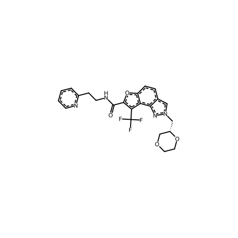 O=C(NCCc1ccccn1)c1oc2ccc3cn(C[C@H]4COCCO4)nc3c2c1C(F)(F)F